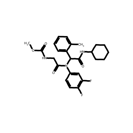 COC(=O)NCC(=O)N(c1ccc(F)c(F)c1)C(C(=O)NC1CCCCC1)c1ccccc1C